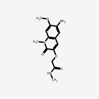 CNC(=O)COc1cc2cc(N)c(OC)cc2n(C)c1=O